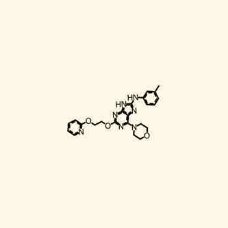 Cc1cccc(Nc2nc3c(N4CCOCC4)nc(OCCOc4ccccn4)nc3[nH]2)c1